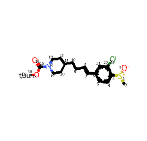 C[S+]([O-])c1ccc(C=CCCC2CCN(C(=O)OC(C)(C)C)CC2)cc1Cl